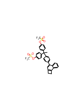 CC(c1ccc(OS(=O)(=O)C(F)(F)F)cc1)(c1ccc(OS(=O)(=O)C(F)(F)F)cc1)c1ccc(-c2cc3c(c4ccccc24)CC3)cc1